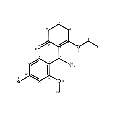 CCOC1=C(C(N)c2ccc(Br)cc2OC)C(=O)CCC1